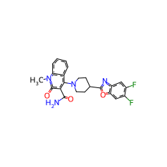 Cn1c(=O)c(C(N)=O)c(N2CCC(c3nc4cc(F)c(F)cc4o3)CC2)c2ccccc21